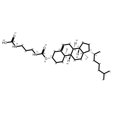 CC(C)CCCC(C)[C@H]1CC[C@H]2[C@@H]3CC=C4C[C@@H](OC(=O)NCCCNC(=O)O)CC[C@]4(C)[C@H]3CC[C@]12C